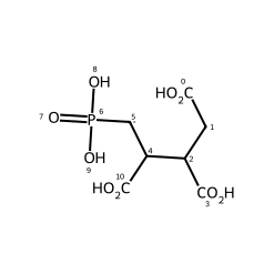 O=C(O)CC(C(=O)O)C([CH]P(=O)(O)O)C(=O)O